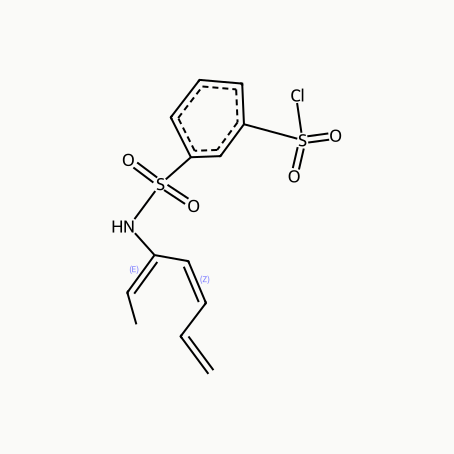 C=C/C=C\C(=C/C)NS(=O)(=O)c1cccc(S(=O)(=O)Cl)c1